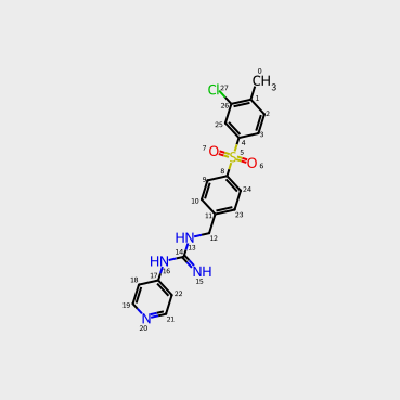 Cc1ccc(S(=O)(=O)c2ccc(CNC(=N)Nc3ccncc3)cc2)cc1Cl